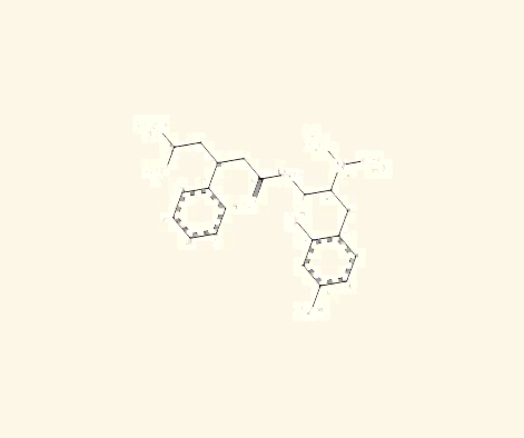 CC(C)CC(CC(=O)NCC(Cc1ccc(Br)cc1Cl)N(C)C)c1ccccc1